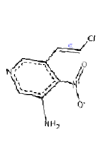 Nc1cncc(/C=C/Cl)c1[N+](=O)[O-]